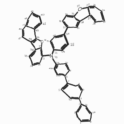 c1ccc(-c2ccc(-c3ccc(N(c4ccc(-c5ccc6oc7ccccc7c6c5)cc4)c4cccc5c4oc4c6ccccc6ccc54)cc3)cc2)cc1